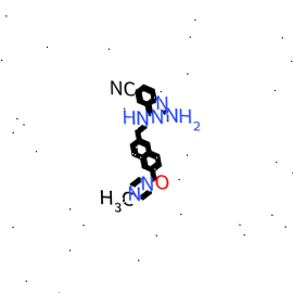 CN1CCN(C(=O)c2ccc3cc(CCNc4nc(N)nc5ccc(C#N)cc45)ccc3c2)CC1